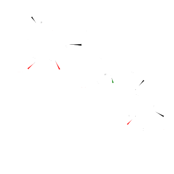 C[C@@H]1C[C@H]2[C@@H]3CCC4=CC(=O)C([C@@H]5O[C@H](C)[C@@H](O)[C@H](O)[C@@H]5O)=C[C@]4(C)[C@@]3(F)[C@@H](O)C[C@]2(C)[C@@]1(O)C(=O)CO